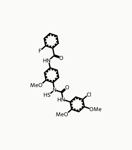 COc1cc(OC)c(NC(=O)N(S)c2ccc(NC(=O)c3ccccc3F)cc2OC)cc1Cl